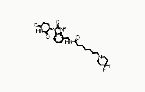 Cn1c(=O)n(C2CCC(=O)NC2=O)c2cccc(CNC(=O)CCCCCCN3CCC(F)(F)CC3)c21